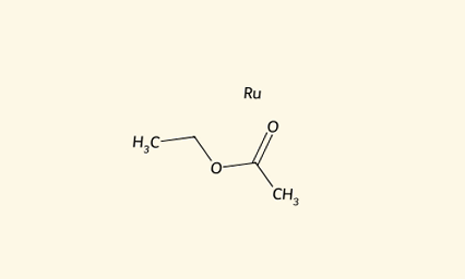 CCOC(C)=O.[Ru]